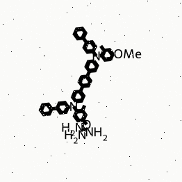 COc1ccc(N(c2ccc(-c3ccccc3)cc2)c2ccc(-c3ccc(-c4ccc(N(c5ccc(-c6ccccc6)cc5)c5ccc(OC(N)(N)N)cc5C)cc4)cc3)cc2)c(C)c1